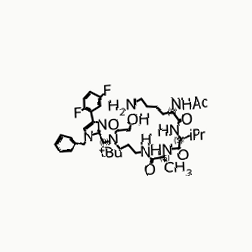 CC(=O)N[C@@H](CCCCN)C(=O)N[C@H](C(=O)N[C@@H](C)C(=O)NCCCN(C(=O)CO)[C@@H](c1nc(-c2cc(F)ccc2F)cn1Cc1ccccc1)C(C)(C)C)C(C)C